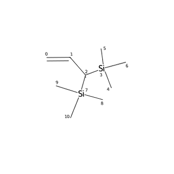 C=C[C]([Si](C)(C)C)[Si](C)(C)C